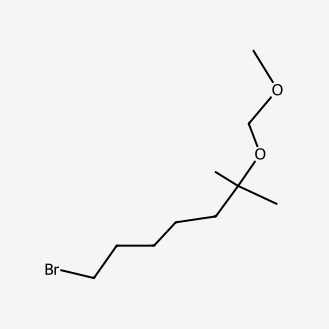 COCOC(C)(C)CCCCCBr